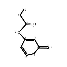 CCC(O)OC1=CC(=S)CC=C1